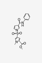 COC(=O)c1cc(S(=O)(=O)n2ccc(C(=O)Nc3ccccc3)c2)cn1C